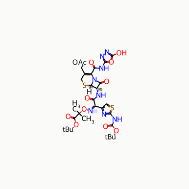 CC(=O)OCC1=C(C(=O)Nc2nnc(O)o2)N2C(=O)[C@@H](NC(=O)/C(=N\OC(C)(C)C(=O)OC(C)(C)C)c3csc(NC(=O)OC(C)(C)C)n3)[C@H]2SC1